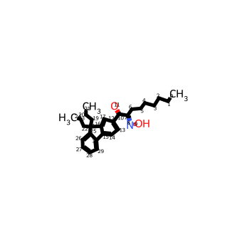 CCCCCCCC(=NO)C(=O)c1ccc2c(c1)C(CCC)(CCC)c1ccccc1-2